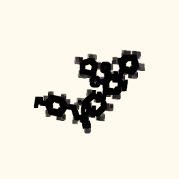 C#[SH](CCc1ccc(F)cc1)N1CCN(c2cnn(-c3ccccc3)c(=O)c2OC2CCCC2)CC1